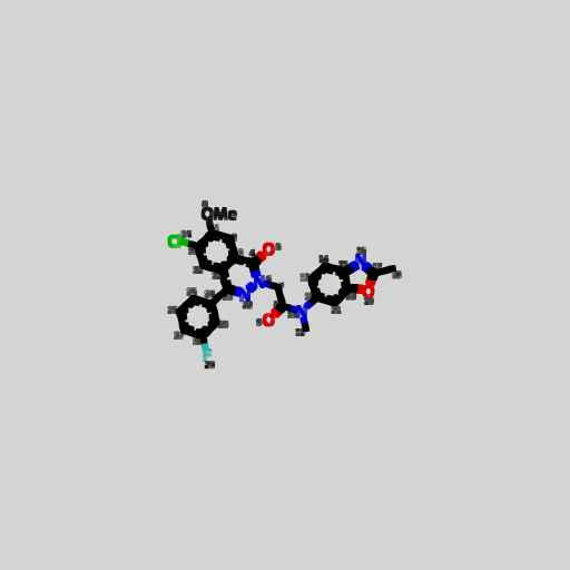 COc1cc2c(=O)n(CC(=O)N(C)c3ccc4nc(C)oc4c3)nc(-c3cccc(F)c3)c2cc1Cl